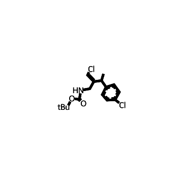 CC(/C(=C\Cl)CNC(=O)OC(C)(C)C)c1ccc(Cl)cc1